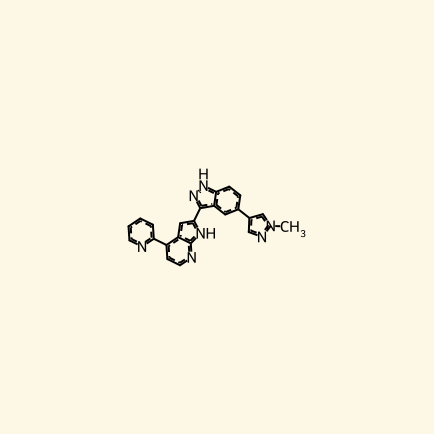 Cn1cc(-c2ccc3[nH]nc(-c4cc5c(-c6ccccn6)ccnc5[nH]4)c3c2)cn1